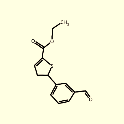 CCOC(=O)C1=CCC(c2cccc(C=O)c2)S1